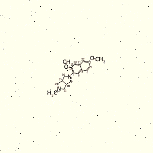 COc1ccc2cc(N3CC4CN(C)CC4C3)c(OC)cc2c1